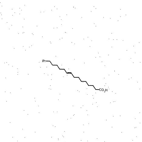 CC(C)CCCCCC=CCCCCCCCC(=O)O